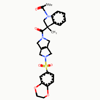 CNC(=O)NCC(C)(C(=O)N1CC2=C(C1)CN(S(=O)(=O)c1ccc3c(c1)OCCO3)C2)c1ccccc1